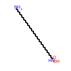 NCCCCCCCCCCCCCCCCCCCCCCCCCCCCCCCCCCCCCC(=O)NO